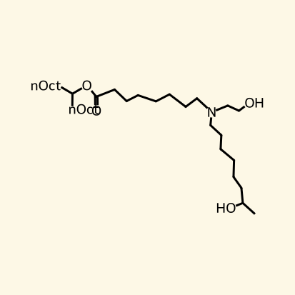 CCCCCCCCC(CCCCCCCC)OC(=O)CCCCCCCN(CCO)CCCCCCC(C)O